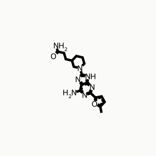 Cc1ccc(-c2nc(N)c3nc(N4CCCC(CCC(N)=O)C4)[nH]c3n2)o1